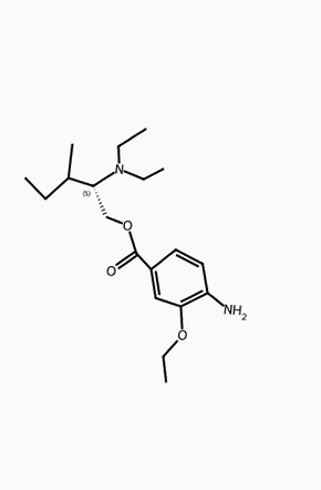 CCOc1cc(C(=O)OC[C@H](C(C)CC)N(CC)CC)ccc1N